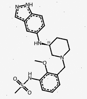 COc1c(CN2CCC[C@H](Nc3ccc4[nH]ncc4c3)C2)cccc1NS(C)(=O)=O